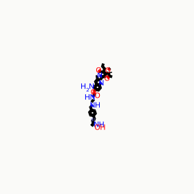 C=C(/C=C/c1ccc(CNCCNC(=O)Oc2ccc3nc4c(cc3c2N)Cn2c-4cc([C@](C)(OC)C(C)=O)c(CCC)c2=O)cc1)NO